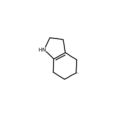 [C]1CCC2=C(C1)CCN2